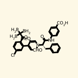 BC(B)(B)C(=O)c1ccc(Cl)cc1C(=C/C=O)/C(=C\N(C)[C@@H](Cc1ccccc1)C(=O)Nc1ccc(C(=O)O)cc1)OC